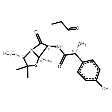 CC1(C)S[C@@H]2[C@H](NC(=O)[C@H](N)c3ccc(O)cc3)C(=O)N2[C@H]1C(=O)O.CCC=O